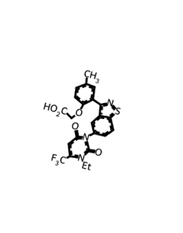 CCn1c(C(F)(F)F)cc(=O)n(-c2ccc3snc(-c4cc(C)ccc4OCC(=O)O)c3c2)c1=O